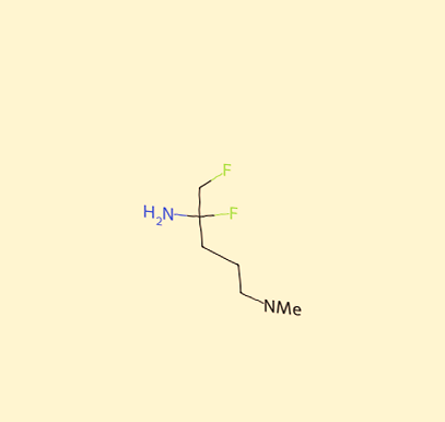 CNCCCC(N)(F)CF